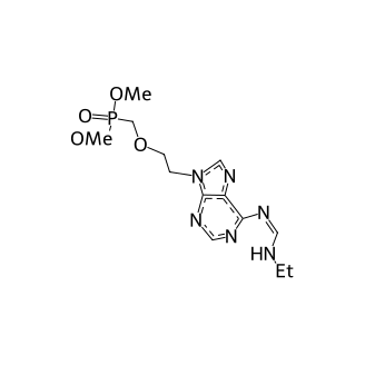 CCN/C=N\c1ncnc2c1ncn2CCOCP(=O)(OC)OC